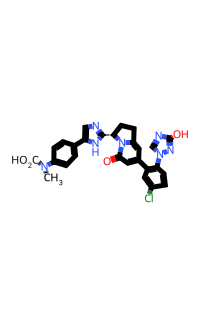 CN(C(=O)O)c1ccc(-c2cnc([C@@H]3CCc4cc(-c5cc(Cl)ccc5-n5cnc(O)n5)cc(=O)n43)[nH]2)cc1